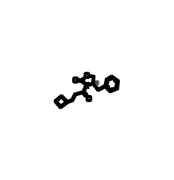 O=C(CCC1CCC1)N1C(=O)OC[C@H]1Cc1ccccc1